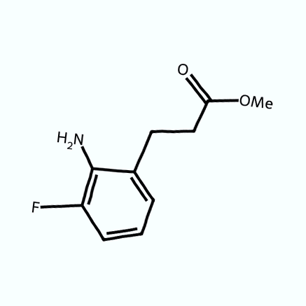 COC(=O)CCc1cccc(F)c1N